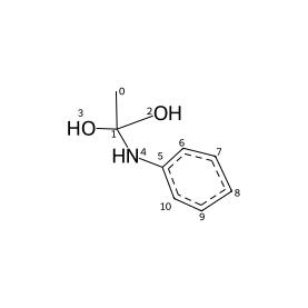 CC(O)(O)Nc1ccccc1